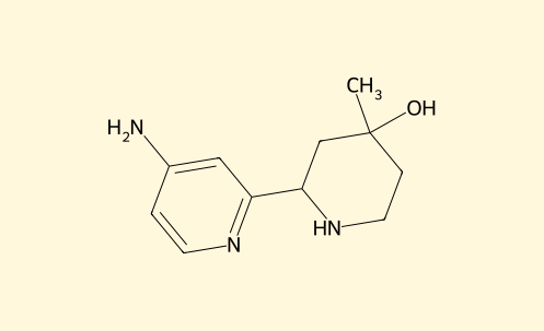 CC1(O)CCNC(c2cc(N)ccn2)C1